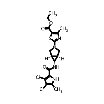 CCOC(=O)c1sc(N2C[C@@H]3[C@H](C2)[C@H]3NC(=O)c2[nH]c(C)c(Cl)c2Cl)nc1C